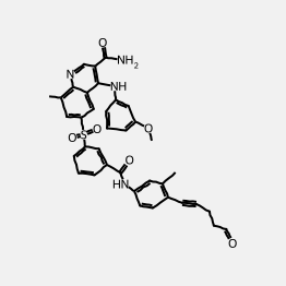 COc1cccc(Nc2c(C(N)=O)cnc3c(C)cc(S(=O)(=O)c4cccc(C(=O)Nc5ccc(C#CCCC=O)c(C)c5)c4)cc23)c1